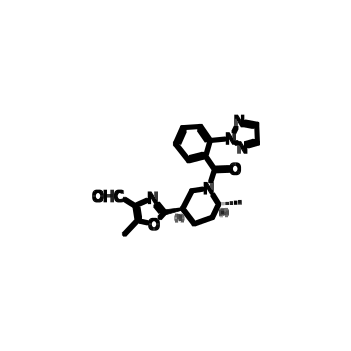 Cc1oc([C@@H]2CC[C@@H](C)N(C(=O)c3ccccc3-n3nccn3)C2)nc1C=O